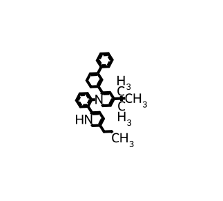 CCCC1=CC=C(c2ccccc2N2CC=C(C(C)(C)C)C=C2C2=CC(c3ccccc3)=CCC2)NC1